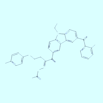 CCn1c2ccc(C(=O)/C(CCSc3ccc(Cl)cc3)=N/OC(C)=O)cc2c2cc(C(=O)c3ccccc3C)ccc21